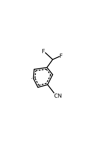 N#Cc1c[c]cc(C(F)F)c1